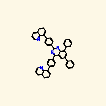 c1ccc(-c2cc(-c3ccccc3)c3nc(-c4ccc(-c5cccc6cccnc56)cc4)nc(-c4ccc(-c5cccc6cccnc56)cc4)c3c2)cc1